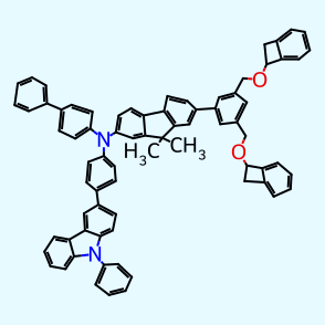 CC1(C)c2cc(-c3cc(COC4Cc5ccccc54)cc(COC4Cc5ccccc54)c3)ccc2-c2ccc(N(c3ccc(-c4ccccc4)cc3)c3ccc(-c4ccc5c(c4)c4ccccc4n5-c4ccccc4)cc3)cc21